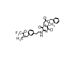 Cc1c(Cl)nc(NCCc2cccc(CN(C)C(=O)C(F)(F)F)c2)c(=O)n1CC(=O)OCc1ccccc1